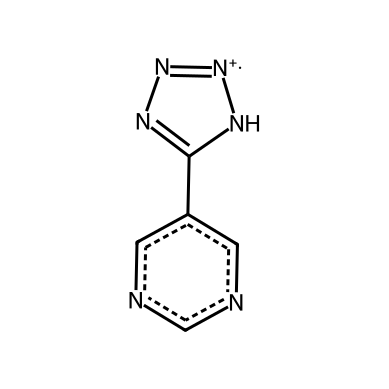 c1ncc(C2=NN=[N+]N2)cn1